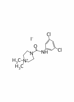 C[N+]1(C)CCN(C(=O)Nc2cc(Cl)cc(Cl)c2)CC1.[I-]